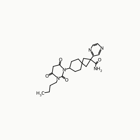 CCCCN1C(=O)CC(=O)N(C2CCC3(CC2)CC(C(N)=O)(c2cnccn2)C3)C1=O